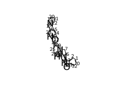 c1ccc2c(N3CCN4C[C@H](COc5ccc(CN6CCCC6)cn5)CC[C@H]4C3)noc2c1